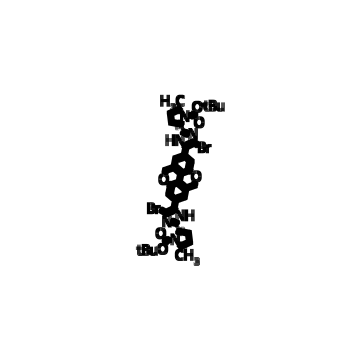 C[C@H]1CC[C@@H](c2nc(Br)c(-c3cc4c5c(c3)OCc3cc(-c6[nH]c([C@@H]7CC[C@H](C)N7C(=O)OC(C)(C)C)nc6Br)cc(c3-5)OC4)[nH]2)N1C(=O)OC(C)(C)C